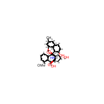 COc1cccc2c1[C@@H](O)[C@]13C[C@@H](O)C[C@]1(C(=O)NC3=O)[C@]21Oc2cc(C)cc3ccc(O)c1c23